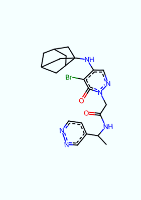 CC(NC(=O)Cn1ncc(NC23CC4CC(CC2C4)C3)c(Br)c1=O)c1ccnnc1